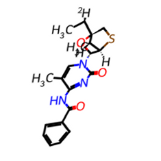 [2H][C@H](C)[C@@]12CS[C@@H]([C@H](n3cc(C)c(NC(=O)c4ccccc4)nc3=O)O1)[C@@H]2C